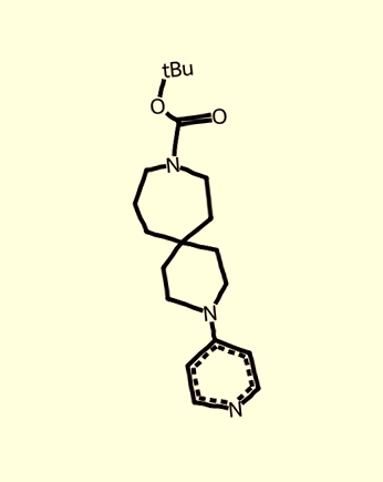 CC(C)(C)OC(=O)N1CCCC2(CC1)CCN(c1ccncc1)CC2